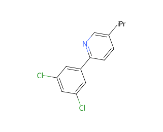 CC(C)c1ccc(-c2cc(Cl)cc(Cl)c2)nc1